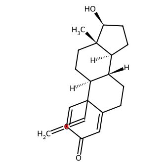 C=C=CC12C=CC(=O)C=C1CC[C@@H]1[C@@H]2CC[C@]2(C)[C@@H](O)CC[C@@H]12